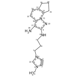 C[n+]1c#cn(CCCNc2nn3c4c(ccc3c2N)CCC4)c1